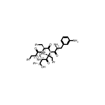 CC(C)C[C@@H](N)C(=O)N[C@@H](CC(C)C)C(=O)N(C(=O)[C@@H](N)Cc1cccc(N)c1)[C@]([C]=O)(CC(C)C)C(=O)[C@@H](N)[C@H](O)C(C)C